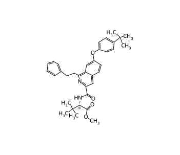 COC(=O)[C@@H](NC(=O)c1cc2ccc(Oc3ccc(C(C)(C)C)cc3)cc2c(CCc2ccccc2)n1)C(C)(C)C